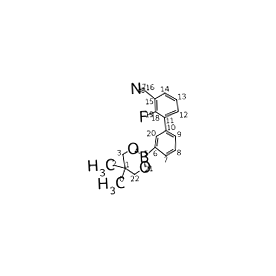 CC1(C)COB(c2cccc(-c3cccc(C#N)c3F)c2)OC1